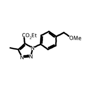 CCOC(=O)c1c(C)nnn1-c1ccc(COC)cc1